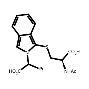 CC(=O)N[C@@H](CSc1c2ccccc2cn1C(C(=O)O)C(C)C)C(=O)O